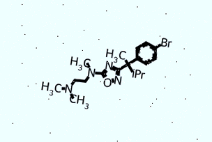 CC(C)C(C)(c1ccc(Br)cc1)c1noc(N(C)CCN(C)C)n1